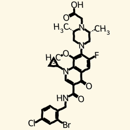 COc1c(N2C[C@@H](C)N(CC(=O)O)[C@@H](C)C2)c(F)cc2c(=O)c(C(=O)NCc3ccc(Cl)cc3Br)cn(C3CC3)c12